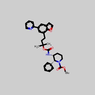 CC(C)(C)OC(=O)N1CCC[C@@H](NC(=O)OC(C)(C)CCc2cc(-c3ccccn3)cc3ccoc23)[C@H]1c1ccccc1